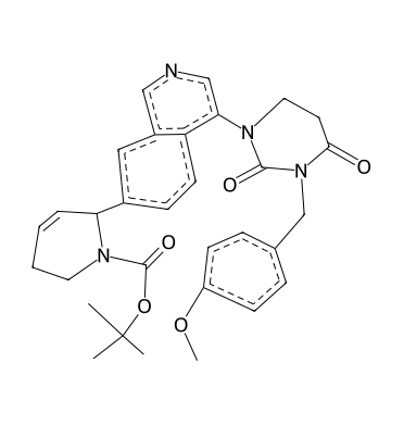 COc1ccc(CN2C(=O)CCN(c3cncc4cc(C5C=CCCN5C(=O)OC(C)(C)C)ccc34)C2=O)cc1